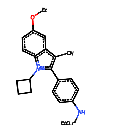 CCOC(=O)Nc1ccc(-c2c(C#N)c3cc(OCC)ccc3n2C2CCC2)cc1